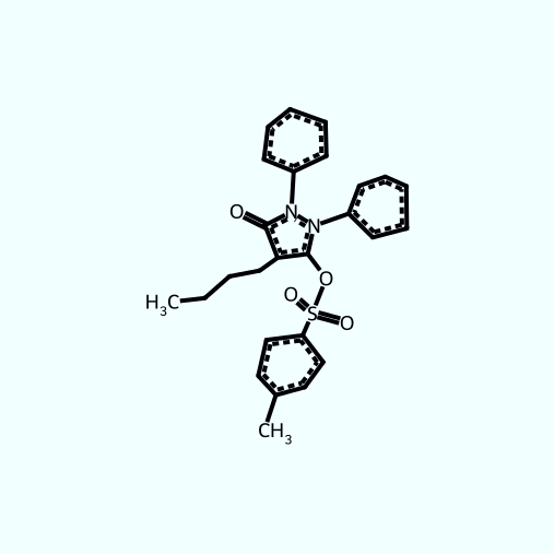 CCCCc1c(OS(=O)(=O)c2ccc(C)cc2)n(-c2ccccc2)n(-c2ccccc2)c1=O